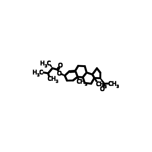 CC(=O)[C@@H]1CCC2C3CCC4=C[C@H](OC(=O)[C@@H](C)C(C)C)CC[C@@]4(C)C3CC[C@]21C